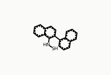 SNc1c(-c2cccc3ccccc23)ccc2ccccc12